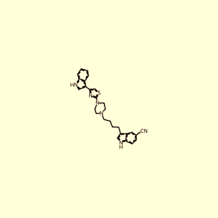 N#Cc1ccc2[nH]cc(CCCCN3CCN(c4nc(-c5c[nH]c6ccccc56)cs4)CC3)c2c1